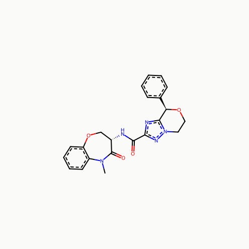 CN1C(=O)[C@@H](NC(=O)c2nc3n(n2)CCO[C@@H]3c2ccccc2)COc2ccccc21